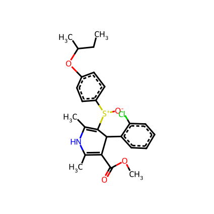 CCC(C)Oc1ccc([S+]([O-])C2=C(C)NC(C)=C(C(=O)OC)C2c2ccccc2Cl)cc1